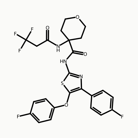 O=C(CC(F)(F)F)NC1(C(=O)Nc2nc(-c3ccc(F)cc3)c(Oc3ccc(F)cc3)s2)CCOCC1